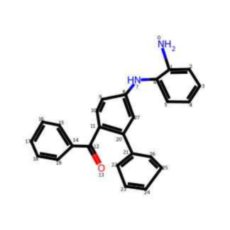 Nc1ccccc1Nc1ccc(C(=O)c2ccccc2)c(-c2ccccc2)c1